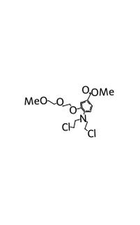 COCCOCCOc1cc(C(=O)OC)ccc1N(CCCl)CCCl